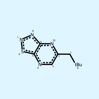 CC(C)(C)Cc1cnc2snnc2n1